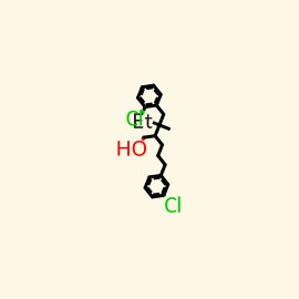 CCC(C)(Cc1ccccc1Cl)C(CO)CCCc1cccc(Cl)c1